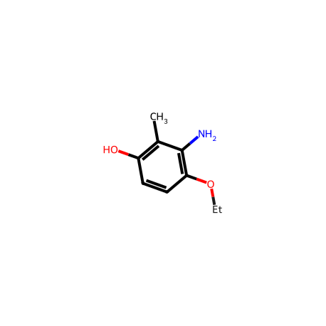 CCOc1ccc(O)c(C)c1N